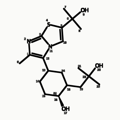 Cc1nc2sc(C(C)(C)O)cn2c1C1CC[C@H](O)C(CC(C)(C)O)C1